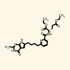 CCOC(=O)CC[C@H](NC(=O)c1cccc(CCCCc2cc3c(=O)[nH]c(N)nc3[nH]2)n1)C(=O)OCC